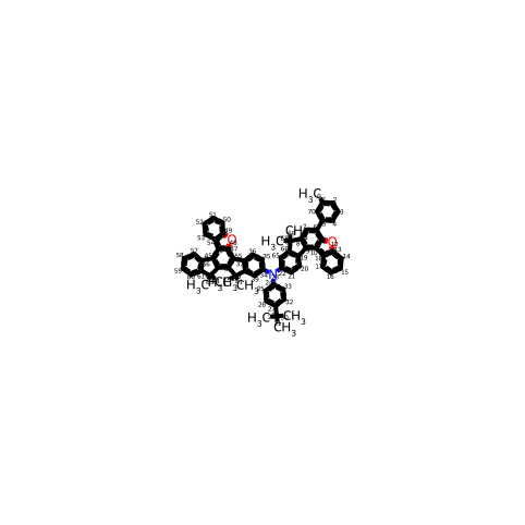 Cc1cccc(-c2cc3c(c4c2oc2ccccc24)-c2ccc(N(c4ccc(C(C)(C)C)cc4)c4ccc5c(c4)C(C)(C)c4c6c(c7c(oc8ccccc87)c4-5)-c4ccccc4C6(C)C)cc2C3(C)C)c1